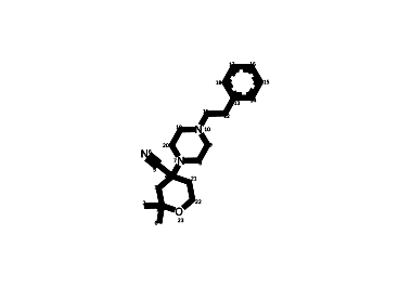 CC1(C)CC(C#N)(N2CCN(CCc3ccccc3)CC2)CCO1